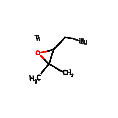 CCC(C)CC1OC1(C)C.[Ti]